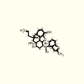 C=CCN1CC[C@]23c4c5ccc(O)c4O[C@H]2[C@H](N(C(C)=O)c2cccc4sc(C)cc24)CC[C@@]3(O)[C@H]1C5